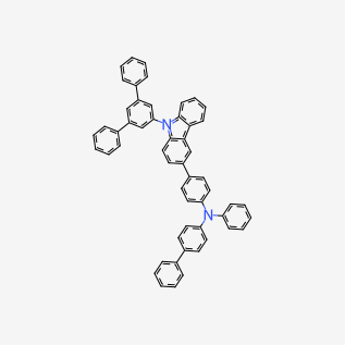 c1ccc(-c2ccc(N(c3ccccc3)c3ccc(-c4ccc5c(c4)c4ccccc4n5-c4cc(-c5ccccc5)cc(-c5ccccc5)c4)cc3)cc2)cc1